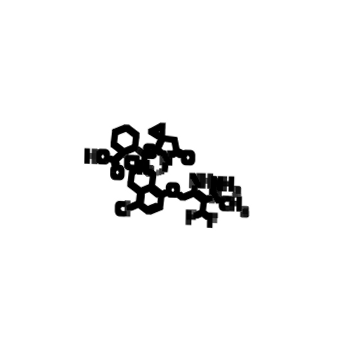 CN(N)/C(=C(\N)COc1ccc(Cl)c2c1[C@@H](CN1CC3(CC3)CC1=O)N(C(=O)[C@@H]1CCCC[C@]1(C)C(=O)O)CC2)C(F)F